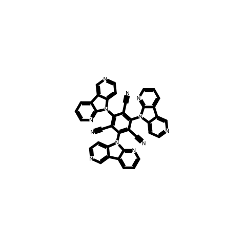 N#Cc1c(-n2c3ccncc3c3cccnc32)c(C#N)c(-n2c3ccncc3c3cccnc32)c(C#N)c1-n1c2ccncc2c2cccnc21